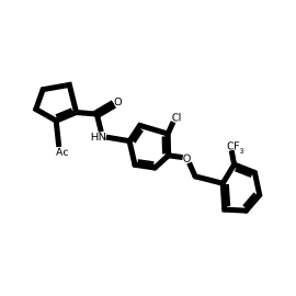 CC(=O)C1=C(C(=O)Nc2ccc(OCc3ccccc3C(F)(F)F)c(Cl)c2)CCC1